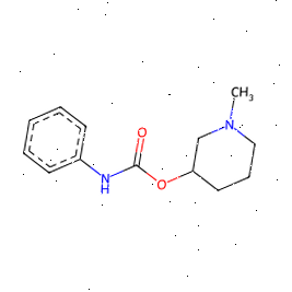 CN1CCCC(OC(=O)Nc2ccccc2)C1